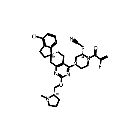 C=C(F)C(=O)N1CCN(c2nc(OC[C@H]3CCCN3C)nc3c2CC[C@@]2(CCc4c(Cl)cccc42)C3)C[C@@H]1CC#N